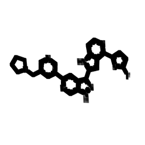 Fc1ccc(-c2nccc3[nH]c(-c4n[nH]c5cnc(-c6cncc(CN7CCCC7)c6)cc45)cc23)s1